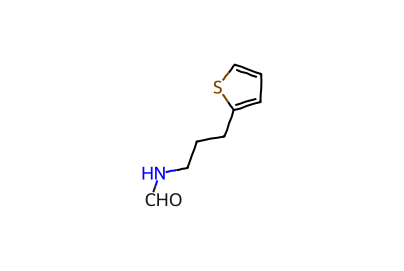 O=CNCCCc1cccs1